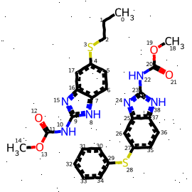 CCCSc1ccc2[nH]c(NC(=O)OC)nc2c1.COC(=O)Nc1nc2cc(Sc3ccccc3)ccc2[nH]1